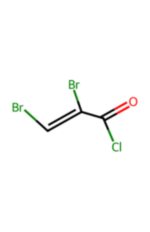 O=C(Cl)/C(Br)=C/Br